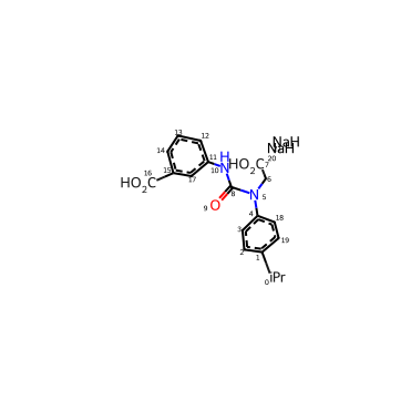 CC(C)c1ccc(N(CC(=O)O)C(=O)Nc2cccc(C(=O)O)c2)cc1.[NaH].[NaH]